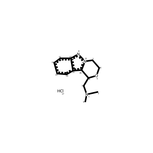 CN(C)CC1OCCn2nc3ccccc3c21.Cl